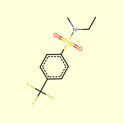 CCN(C)S(=O)(=O)c1ccc(C(F)(F)F)cc1